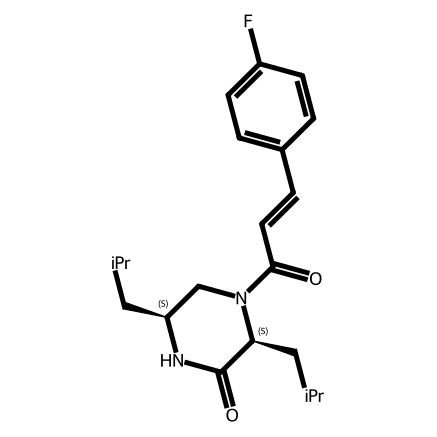 CC(C)C[C@H]1CN(C(=O)C=Cc2ccc(F)cc2)[C@@H](CC(C)C)C(=O)N1